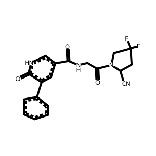 N#CC1CC(F)(F)CN1C(=O)CNC(=O)c1c[nH]c(=O)c(-c2ccccc2)c1